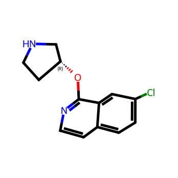 Clc1ccc2ccnc(O[C@@H]3CCNC3)c2c1